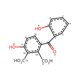 O=C(c1ccccc1O)c1ccc(O)c(C(=O)O)c1C(=O)O